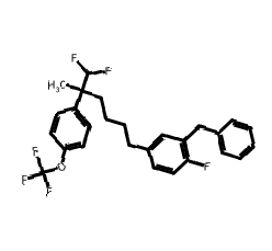 CC(CCCCc1ccc(F)c(Cc2ccccc2)c1)(c1ccc(OC(F)(F)F)cc1)C(F)F